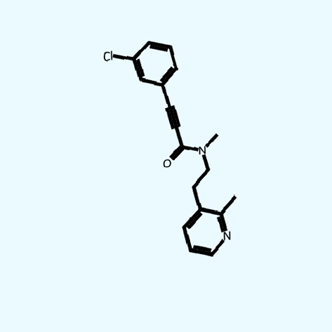 Cc1ncccc1CCN(C)C(=O)C#Cc1cccc(Cl)c1